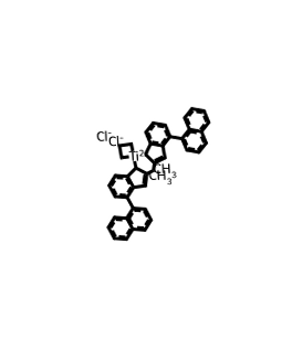 CC1=Cc2c(-c3cccc4ccccc34)cccc2[CH]1[Ti+2]1([CH]2C(C)=Cc3c(-c4cccc5ccccc45)cccc32)[CH2]C[CH2]1.[Cl-].[Cl-]